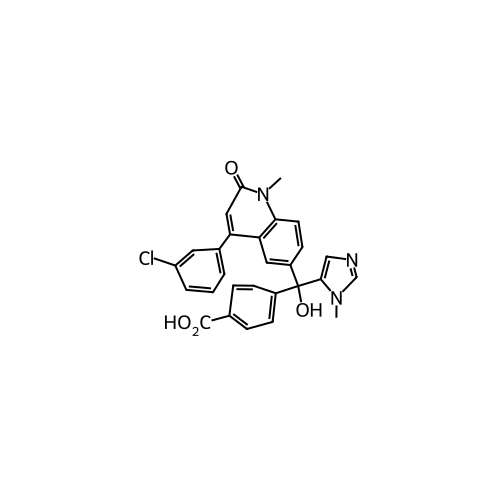 Cn1cncc1C(O)(c1ccc(C(=O)O)cc1)c1ccc2c(c1)c(-c1cccc(Cl)c1)cc(=O)n2C